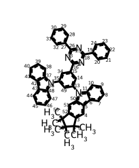 CC1(C)c2cc3c4ccccc4n(-c4cc(-c5nc(-c6ccccc6)nc(-c6ccccc6)n5)cc(-n5c6ccccc6c6ccccc65)c4)c3cc2C(C)(C)C1(C)C